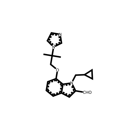 CC(C)(COc1cccc2cc(C=O)n(CC3CC3)c12)n1ccnc1